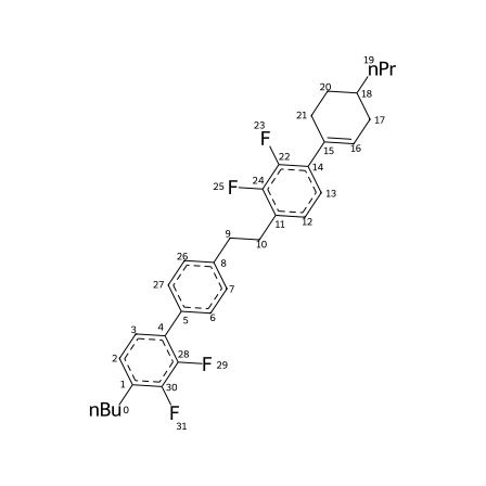 CCCCc1ccc(-c2ccc(CCc3ccc(C4=CCC(CCC)CC4)c(F)c3F)cc2)c(F)c1F